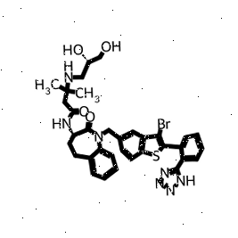 CC(C)(CC(=O)N[C@@H]1CCc2ccccc2N(Cc2ccc3sc(-c4ccccc4-c4nnn[nH]4)c(Br)c3c2)C1=O)NC[C@H](O)CO